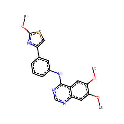 CCOc1nc(-c2cccc(Nc3ncnc4cc(OCC)c(OCC)cc34)c2)cs1